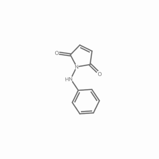 O=C1C=CC(=O)N1Nc1ccccc1